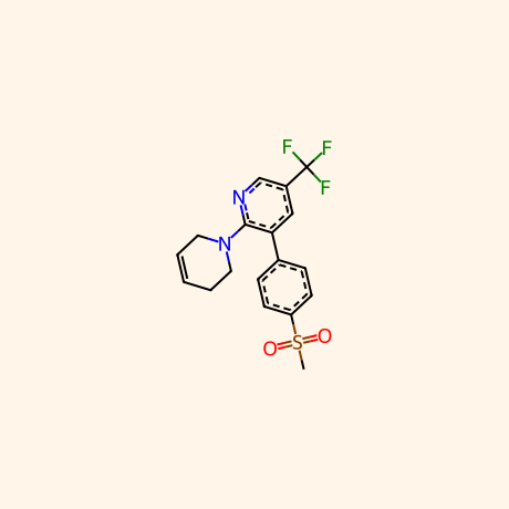 CS(=O)(=O)c1ccc(-c2cc(C(F)(F)F)cnc2N2CC=CCC2)cc1